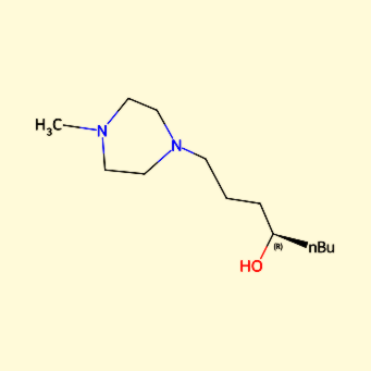 CCCC[C@@H](O)CCCN1CCN(C)CC1